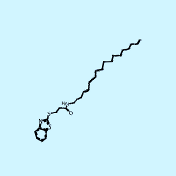 CCCCCCCCCCCCCCCCCCNC(=O)CCSc1nc2ccccc2s1